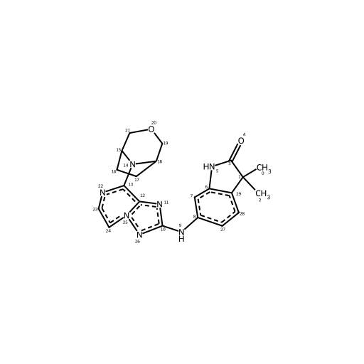 CC1(C)C(=O)Nc2cc(Nc3nc4c(N5C6CCC5COC6)nccn4n3)ccc21